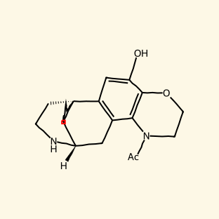 CC(=O)N1CCOc2c(O)cc3c(c21)C[C@@H]1NCC[C@]32CCCCC12